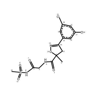 CC1(C(=O)NCC(=O)NS(C)(=O)=O)CC(c2cc(Cl)cc(Cl)c2)=NO1